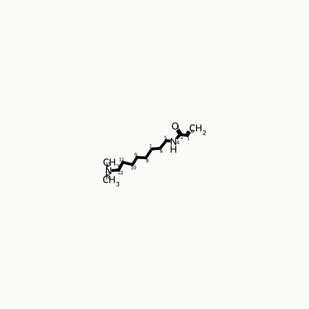 C=CC(=O)NCCCCCCCCN(C)C